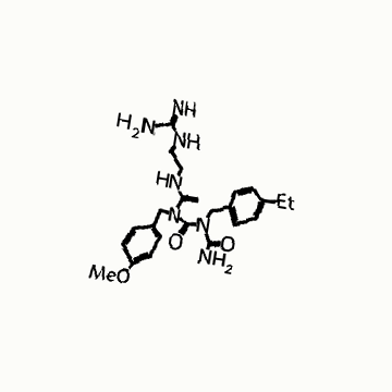 C=C(NCCNC(=N)N)N(Cc1ccc(OC)cc1)C(=O)N(Cc1ccc(CC)cc1)C(N)=O